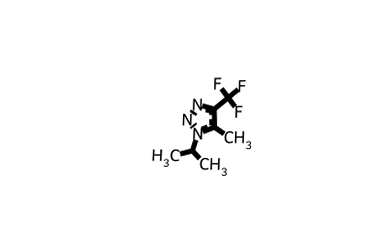 Cc1c(C(F)(F)F)nnn1C(C)C